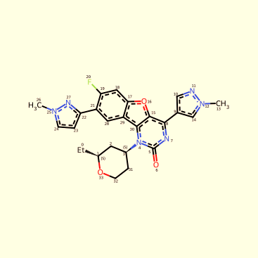 CC[C@H]1C[C@@H](n2c(=O)nc(-c3cnn(C)c3)c3oc4cc(F)c(-c5ccn(C)n5)cc4c32)CCO1